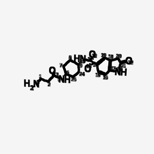 NCCC(=O)N[C@H]1CC[C@H](NS(=O)(=O)c2ccc3c(c2)CC(=O)N3)CC1